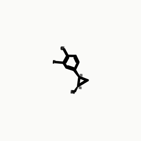 CC(C)[C@H]1C[C@@H]1c1ccc(Cl)c(F)c1